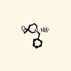 [H-].[Na+].c1ccc(CN2CCCC3(CO3)C2)cc1